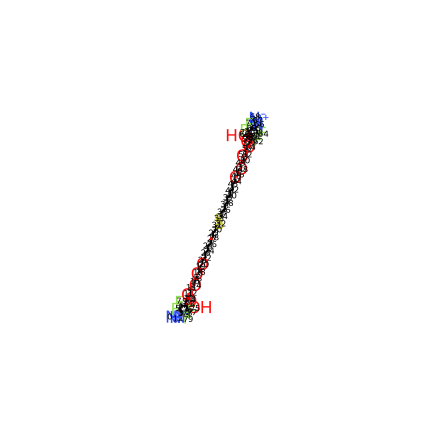 [N-]=[N+]=NC1=C(F)C(F)C(CCOCCOCCOCCOCCCCCCCCCCCSSCCCCCCCCCCCOCCOCCOCCOCCC2(C(=O)O)C(F)=C(F)C(N=[N+]=[N-])=C(F)C2F)(C(=O)O)C(F)=C1F